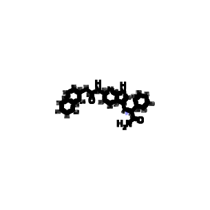 NC(=O)/C(=C/c1c[nH]c2nc(NC(=O)Cc3ccc4ccccc4c3)ccc12)c1ccccc1